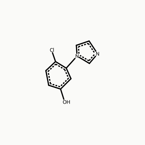 Oc1ccc(Cl)c(-n2ccnc2)c1